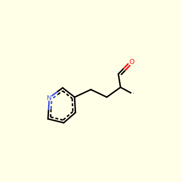 [CH2]C(C=O)CCc1cccnc1